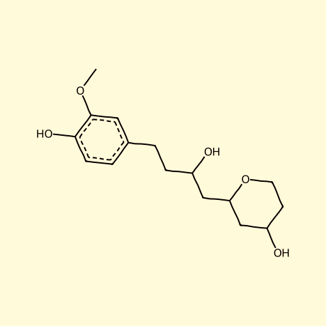 COc1cc(CCC(O)CC2CC(O)CCO2)ccc1O